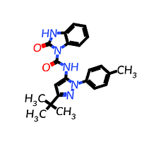 Cc1ccc(-n2nc(C(C)(C)C)cc2NC(=O)n2c(=O)[nH]c3ccccc32)cc1